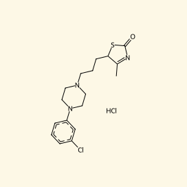 CC1=NC(=O)SC1CCCN1CCN(c2cccc(Cl)c2)CC1.Cl